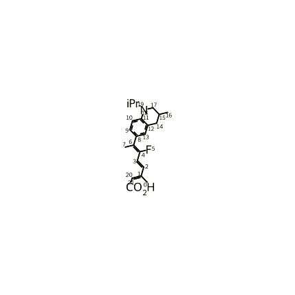 CC(C=CC(F)=C(C)c1ccc2c(c1)CC(C)CN2C(C)C)=CC(=O)O